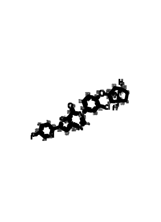 CN1[C@@H]2CC[C@H]1C[C@@H](Oc1ccc(-n3cnc4cc(-c5ccc(F)cn5)sc4c3=O)cc1Cl)C2